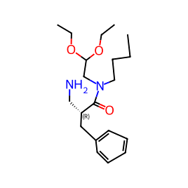 CCCCN(CC(OCC)OCC)C(=O)[C@@H](CN)Cc1ccccc1